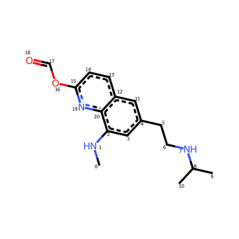 CNc1cc(CCNC(C)C)cc2ccc(OC=O)nc12